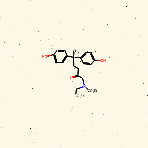 CCOC(=O)CN(CC(=O)CCC(C)(c1ccc(O)cc1)c1ccc(O)cc1)C(=O)OCC